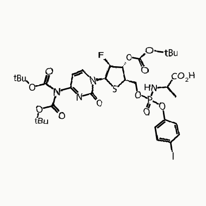 CC(NP(=O)(OC[C@H]1S[C@@H](n2ccc(N(C(=O)OC(C)(C)C)C(=O)OC(C)(C)C)nc2=O)[C@@H](F)[C@@H]1OC(=O)OC(C)(C)C)Oc1ccc(I)cc1)C(=O)O